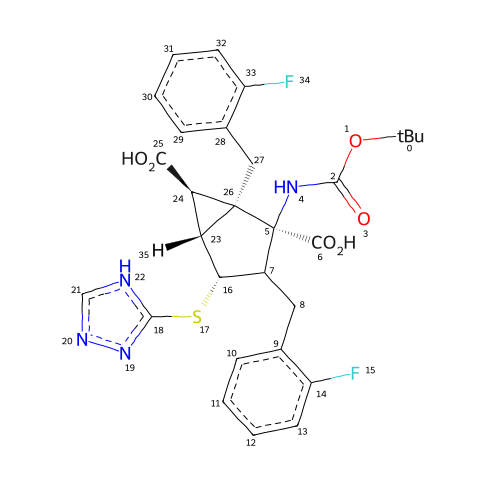 CC(C)(C)OC(=O)N[C@@]1(C(=O)O)C(Cc2ccccc2F)[C@H](Sc2nnc[nH]2)[C@@H]2[C@@H](C(=O)O)[C@]21Cc1ccccc1F